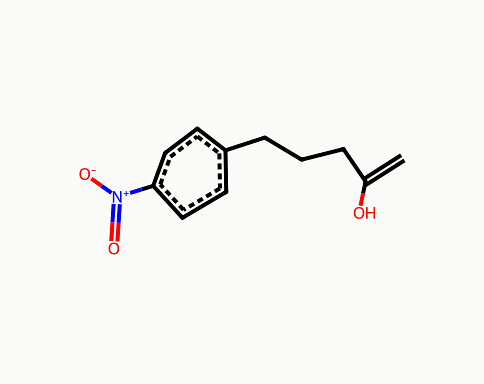 C=C(O)CCCc1ccc([N+](=O)[O-])cc1